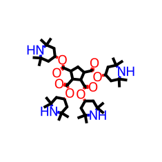 CC1(C)CC(OC(=O)C2CC(C(=O)OC3CC(C)(C)NC(C)(C)C3)C(C(=O)OC3CC(C)(C)NC(C)(C)C3)C2C(=O)OC2CC(C)(C)NC(C)(C)C2)CC(C)(C)N1